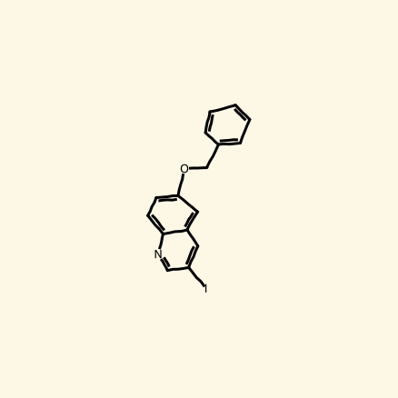 Ic1cnc2ccc(OCc3ccccc3)cc2c1